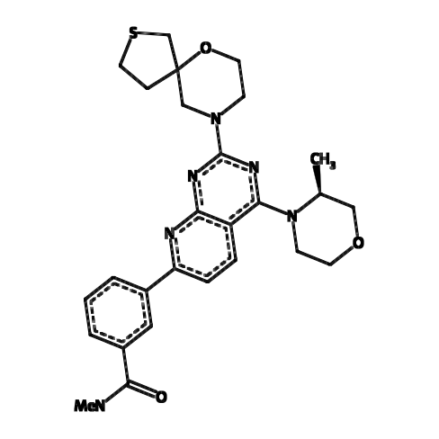 CNC(=O)c1cccc(-c2ccc3c(N4CCOC[C@@H]4C)nc(N4CCOC5(CCSC5)C4)nc3n2)c1